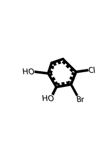 Oc1ccc(Cl)c(Br)c1O